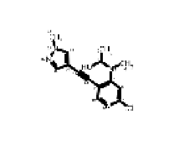 CC(O)N(C)c1cc(Cl)ncc1C#Cc1cnn(C)c1